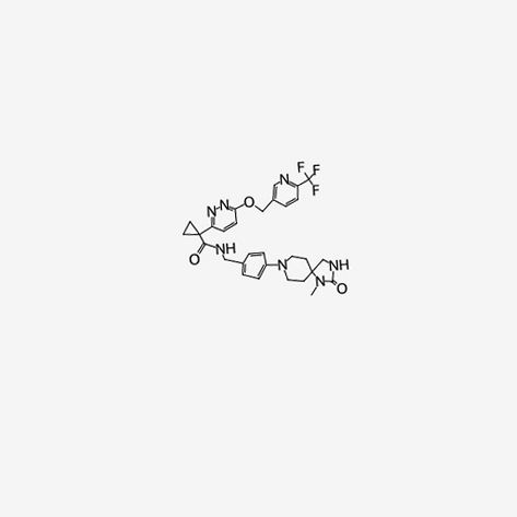 CN1C(=O)NCC12CCN(c1ccc(CNC(=O)C3(c4ccc(OCc5ccc(C(F)(F)F)nc5)nn4)CC3)cc1)CC2